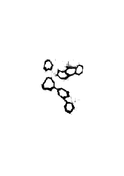 CC1(C)c2cc(N(C3=CC(c4ccc5[nH]c6ccccc6c5c4)=C=CC=C3)c3ccccc3)ccc2C2C=CCCC21